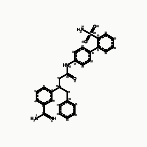 N=C(N)c1cccc(N(CC(=O)Nc2ccc(-c3ccccc3S(N)(=O)=O)cc2)Cc2ccccc2)c1